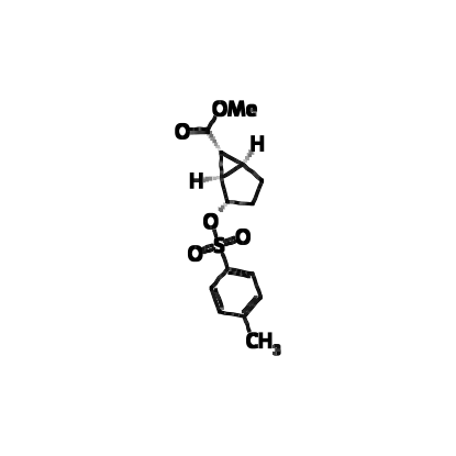 COC(=O)[C@@H]1[C@H]2CC[C@H](OS(=O)(=O)c3ccc(C)cc3)[C@H]21